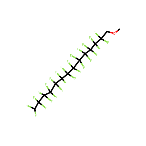 COCC(F)(F)C(F)(F)C(F)(F)C(F)(F)C(F)(F)C(F)(F)C(F)(F)C(F)(F)C(F)(F)C(F)(F)C(F)(F)C(F)(F)C(F)F